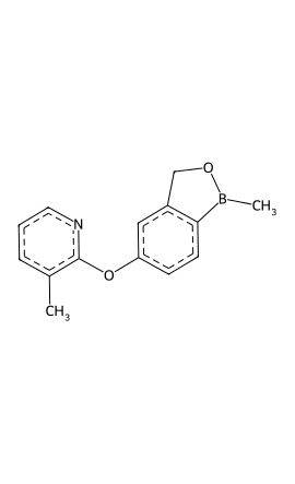 CB1OCc2cc(Oc3ncccc3C)ccc21